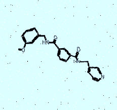 COc1cccc(CNC(=O)c2cccc(C(=O)NCc3cccnc3)c2)c1